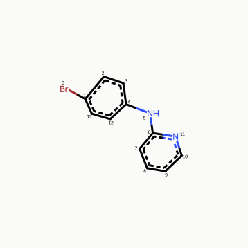 Brc1ccc(Nc2ccccn2)cc1